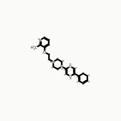 Cc1ncccc1OCCN1CCN(C2=COC(C3=CC=CCC3)=CO2)CC1